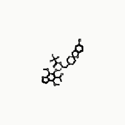 COc1c(C(C)=O)c(OC[C@@H](CN2CCC3(CC2)Cc2cc(Cl)ccc2O3)OC(=O)C(F)(F)F)c(OC)c2occc12